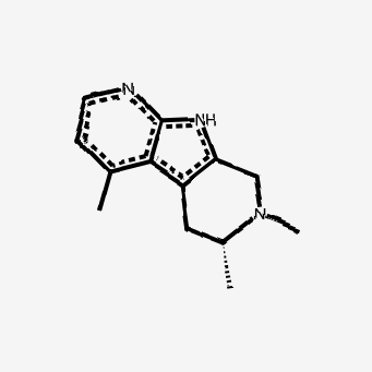 Cc1ccnc2[nH]c3c(c12)C[C@@H](C)N(C)C3